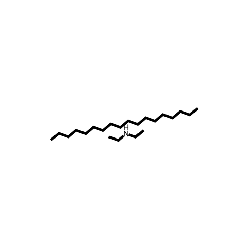 CCCCCCCCCCCCCCCCCC.CCNCC